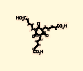 O=C(O)CCCCn1c(=O)n(CCCCC(=O)O)c(=O)n(CCCCC(=O)O)c1=O